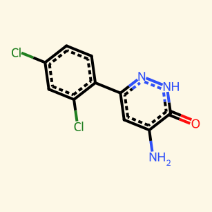 Nc1cc(-c2ccc(Cl)cc2Cl)n[nH]c1=O